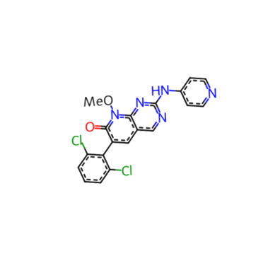 COn1c(=O)c(-c2c(Cl)cccc2Cl)cc2cnc(Nc3ccncc3)nc21